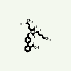 CCCCC(=O)n1c(Cl)c(CCC(C)C)n(Cc2ccc(-c3ccccc3C(=O)O)cc2)c1=O